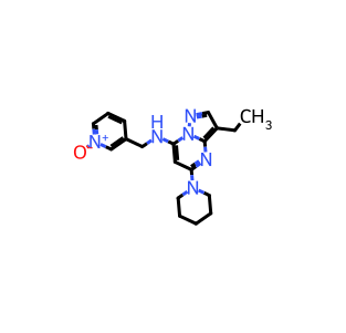 CCc1cnn2c(NCc3ccc[n+]([O-])c3)cc(N3CCCCC3)nc12